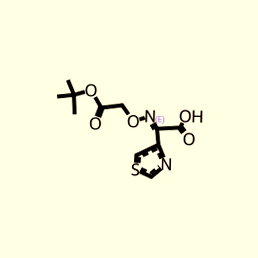 CC(C)(C)OC(=O)CO/N=C(/C(=O)O)c1cscn1